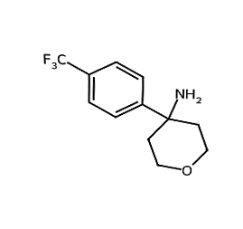 NC1(c2ccc(C(F)(F)F)cc2)CCOCC1